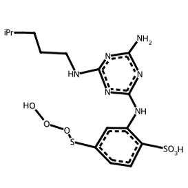 CC(C)CCCNc1nc(N)nc(Nc2cc(SOOO)ccc2S(=O)(=O)O)n1